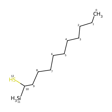 CCCCCCCCCCC([SiH3])S